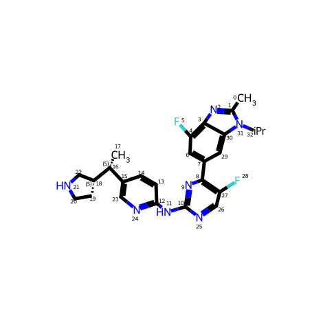 Cc1nc2c(F)cc(-c3nc(Nc4ccc([C@@H](C)[C@@H]5CCNC5)cn4)ncc3F)cc2n1C(C)C